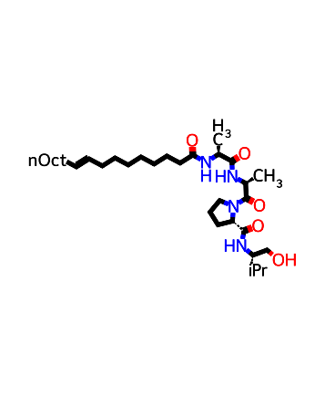 CCCCCCCCC=CCCCCCCCC(=O)N[C@@H](C)C(=O)N[C@@H](C)C(=O)N1CCC[C@H]1C(=O)N[C@H](CO)C(C)C